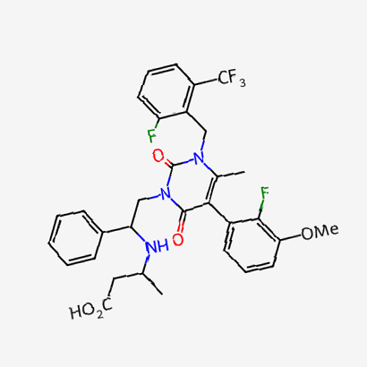 COc1cccc(-c2c(C)n(Cc3c(F)cccc3C(F)(F)F)c(=O)n(CC(NC(C)CC(=O)O)c3ccccc3)c2=O)c1F